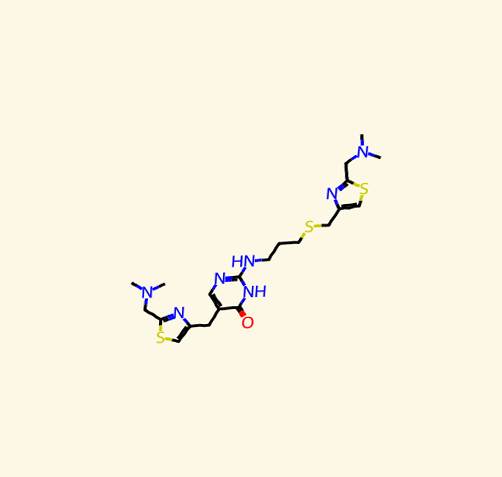 CN(C)Cc1nc(CSCCCNc2ncc(Cc3csc(CN(C)C)n3)c(=O)[nH]2)cs1